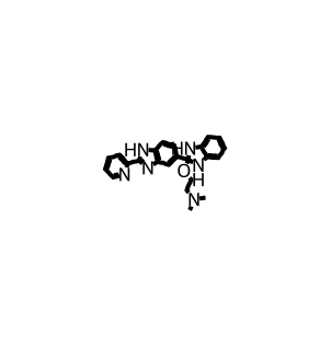 CN(C)CCOC1(c2ccc3[nH]c(-c4ccccn4)nc3c2)Nc2ccccc2N1